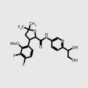 COc1c(C2CC(C)(C(F)(F)F)OC2C(=O)Nc2ccc(C(O)CO)nc2)ccc(F)c1F